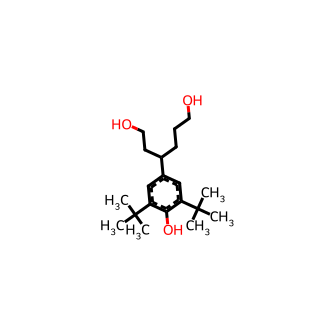 CC(C)(C)c1cc(C(CCO)CCCO)cc(C(C)(C)C)c1O